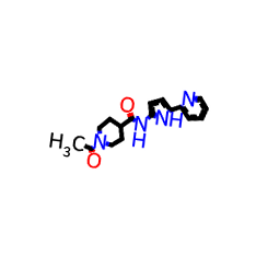 CC(=O)N1CCC(C(=O)Nc2ccc(-c3ccccn3)[nH]2)CC1